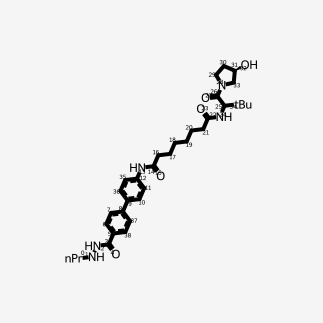 CCCNNC(=O)c1ccc(-c2ccc(NC(=O)CCCCCCC(=O)NC(C(=O)N3CC[C@@H](O)C3)C(C)(C)C)cc2)cc1